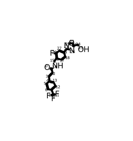 O=C(C=Cc1ccc(C(F)(F)F)cc1)NCc1ccc(-c2noc(CO)n2)cc1F